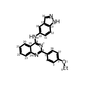 CCOc1ccc(-c2nc(Nc3ccc4[nH]ncc4c3)c3ccccc3n2)cc1